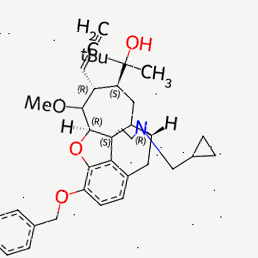 C=C=C[C@H]1C(OC)[C@@H]2Oc3c(OCc4ccccc4)ccc4c3[C@@]23CCN(CC2CC2)[C@H](C4)C3C[C@@H]1C(C)(O)C(C)(C)C